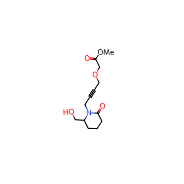 COC(=O)COCC#CCN1C(=O)CCCC1CO